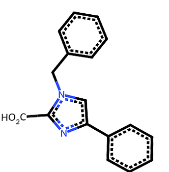 O=C(O)c1nc(-c2ccccc2)cn1Cc1ccccc1